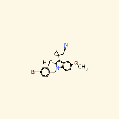 COc1ccc2c(c1)c(C1(CC#N)CC1)c(C)n2Cc1ccc(Br)cc1